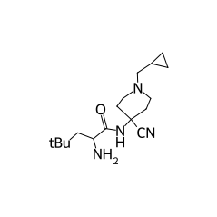 CC(C)(C)CC(N)C(=O)NC1(C#N)CCN(CC2CC2)CC1